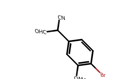 COc1cc(C(C#N)C=O)ccc1Br